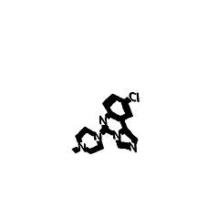 CN1CCN(c2nc3ccc(Cl)cc3c3cncn23)CC1